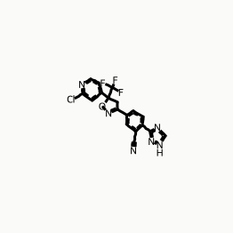 N#Cc1cc(C2=NOC(c3ccnc(Cl)c3)(C(F)(F)F)C2)ccc1-c1nc[nH]n1